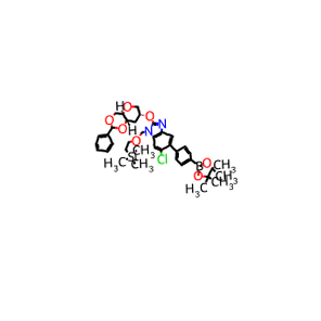 CC1(C)OB(c2ccc(-c3cc4nc(O[C@H]5CO[C@@H]6COC(c7ccccc7)O[C@H]6C5)n(COCC[Si](C)(C)C)c4cc3Cl)cc2)OC1(C)C